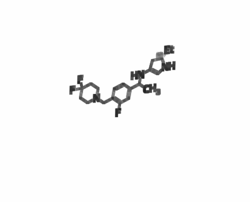 CC[C@H]1CC(NC(C)c2ccc(CN3CCC(F)(F)CC3)c(F)c2)=CN1